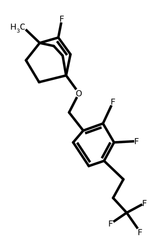 CC12CCC(OCc3ccc(CCC(F)(F)F)c(F)c3F)(C=C1F)CC2